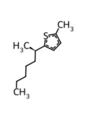 CCCCC[C@@H](C)c1ccc(C)s1